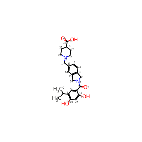 CC(C)c1cc(C(=O)N2Cc3ccc(CN4CCC(C(=O)O)CC4)cc3C2)c(O)cc1O